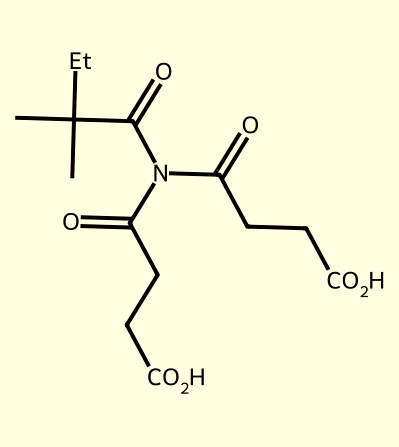 CCC(C)(C)C(=O)N(C(=O)CCC(=O)O)C(=O)CCC(=O)O